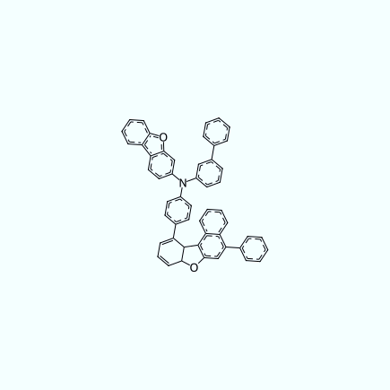 C1=CC2Oc3cc(-c4ccccc4)c4ccccc4c3C2C(c2ccc(N(c3cccc(-c4ccccc4)c3)c3ccc4c(c3)oc3ccccc34)cc2)=C1